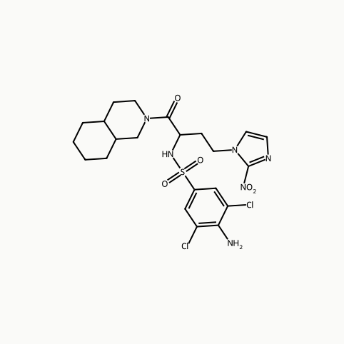 Nc1c(Cl)cc(S(=O)(=O)NC(CCn2ccnc2[N+](=O)[O-])C(=O)N2CCC3CCCCC3C2)cc1Cl